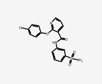 NS(=O)(=O)c1cccc(NC(=O)c2cccnc2Oc2ccc(Cl)cc2)c1